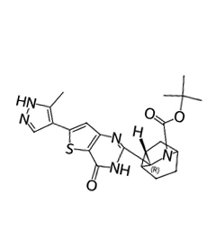 Cc1[nH]ncc1-c1cc2nc([C@H]3C4CCC(CC4)N3C(=O)OC(C)(C)C)[nH]c(=O)c2s1